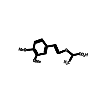 COc1ccc(C=COC(C)C(=O)O)cc1OC